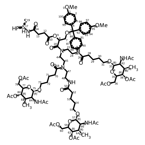 COc1ccc(C(OCC(OC(=O)CCC(=O)N[SH](=P)=S)C(=O)N(CCNC(=O)CCCCO[C@@H]2OC(COC(C)=O)[C@H](OC(C)=O)[C@H](C)C2NC(C)=O)CCN(CCNC(=O)CCCCO[C@@H]2OC(COC(C)=O)[C@H](OC(C)=O)[C@H](C)C2NC(C)=O)C(=O)CCCCO[C@@H]2OC(COC(C)=O)[C@H](OC(C)=O)[C@H](C)C2NC(C)=O)(c2ccccc2)c2ccc(OC)cc2)cc1